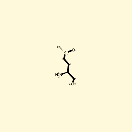 C[S@+]([O-])CC[C@H](N)CO